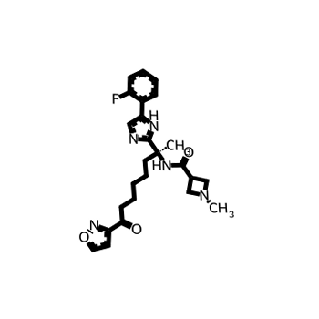 CN1CC(C(=O)N[C@@](C)(CCCCCC(=O)c2ccon2)c2ncc(-c3ccccc3F)[nH]2)C1